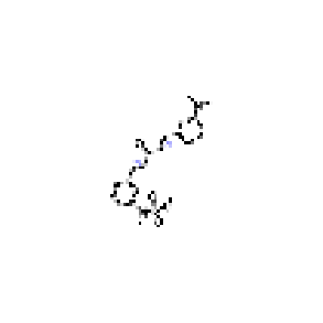 COS(=O)(=O)N(C)c1cccc(/C=C/C(=O)/C=C/c2cccc(N(C)C)c2)c1